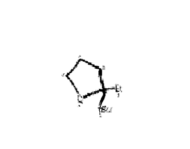 CCC1(C(C)(C)C)CCCO1